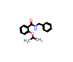 CC(C)Oc1ccccc1C(=O)NCc1cc[c]cc1